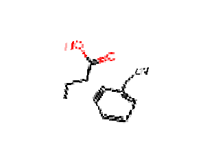 CCCC(=O)O.N#Cc1ccccc1